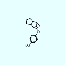 CCC(C)c1ccc(OC2CC3CC2C2CCCC32)cc1